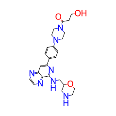 O=C(CCO)N1CCN(c2ccc(-c3cc4nccnc4c(NCC4CNCCO4)n3)cc2)CC1